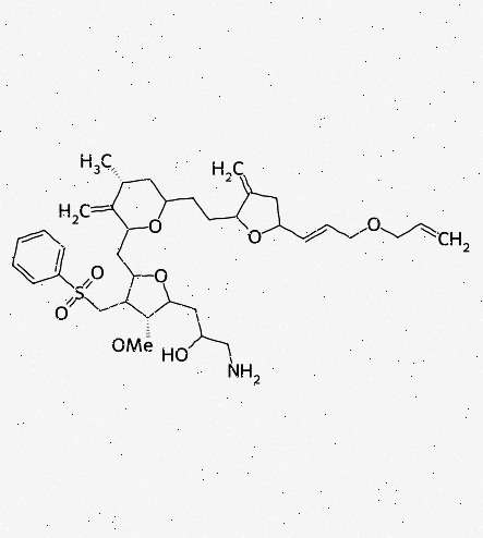 C=CCOC/C=C/C1CC(=C)C(CCC2C[C@@H](C)C(=C)C(CC3OC(CC(O)CN)[C@H](OC)C3CS(=O)(=O)c3ccccc3)O2)O1